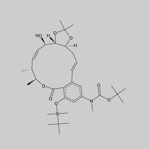 C[C@@H]1/C=C\[C@@H](O)[C@@H]2OC(C)(C)O[C@H]2C/C=C/c2cc(N(C)C(=O)OC(C)(C)C)cc(O[Si](C)(C)C(C)(C)C)c2C(=O)O[C@H]1C